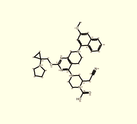 COc1cc(N2CCc3c(nc(OCC4(N5CCCC5)CC4)nc3N3CCN(C(=O)O)C(CC#N)C3)C2)c2ccccc2c1